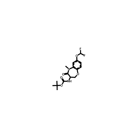 CN1C(=O)C(NC(=O)OC(C)(C)C)COc2ccc(OC(F)F)cc21